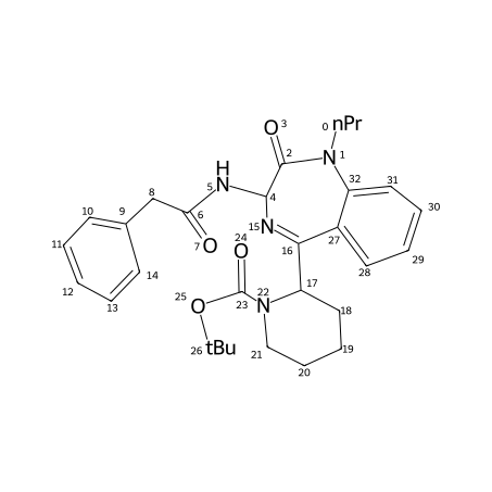 CCCN1C(=O)C(NC(=O)Cc2ccccc2)N=C(C2CCCCN2C(=O)OC(C)(C)C)c2ccccc21